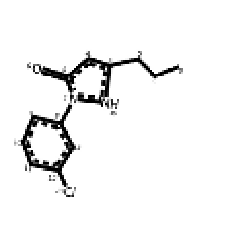 CCCc1cc(=O)n(-c2cccc(Cl)c2)[nH]1